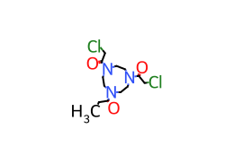 CCC(=O)N1CCN(C(=O)CCl)CCN(C(=O)CCl)CC1